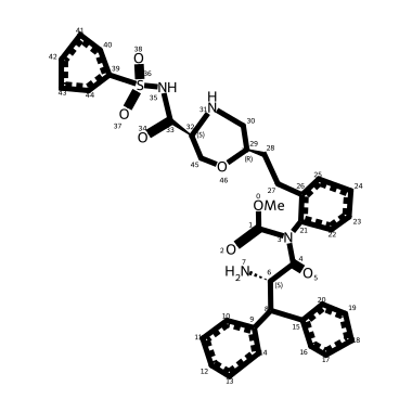 COC(=O)N(C(=O)[C@@H](N)C(c1ccccc1)c1ccccc1)c1ccccc1CC[C@@H]1CN[C@H](C(=O)NS(=O)(=O)c2ccccc2)CO1